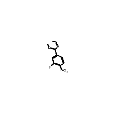 C/C=N\C(=N/C)c1ccc([N+](=O)[O-])c(F)c1